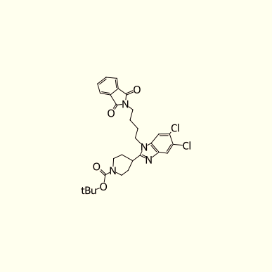 CC(C)(C)OC(=O)N1CCC(c2nc3cc(Cl)c(Cl)cc3n2CCCCN2C(=O)c3ccccc3C2=O)CC1